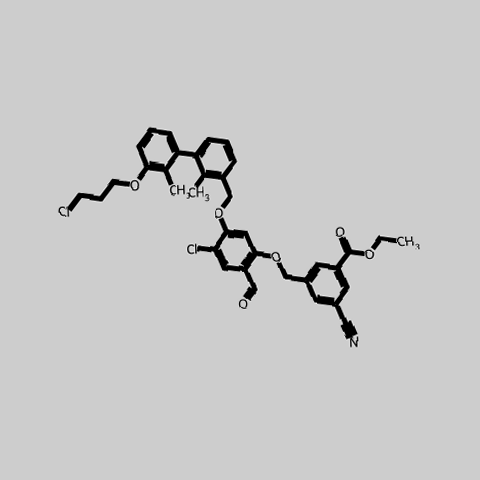 CCOC(=O)c1cc(C#N)cc(COc2cc(OCc3cccc(-c4cccc(OCCCCl)c4C)c3C)c(Cl)cc2C=O)c1